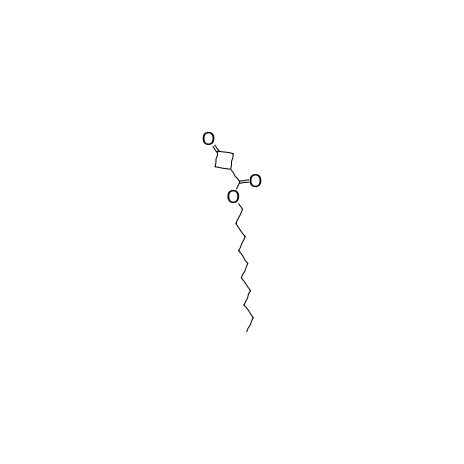 CCCCCCCCCCOC(=O)C1CC(=O)C1